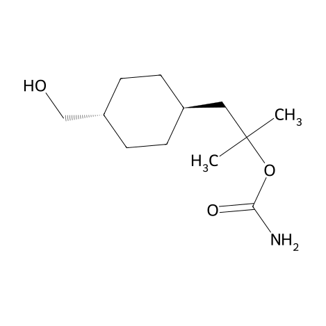 CC(C)(C[C@H]1CC[C@H](CO)CC1)OC(N)=O